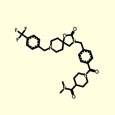 CN(C)C(=O)C1CCN(C(=O)c2ccc(CN3CC4(CCN(Cc5ccc(C(F)(F)F)cc5)CC4)OC3=O)cc2)CC1